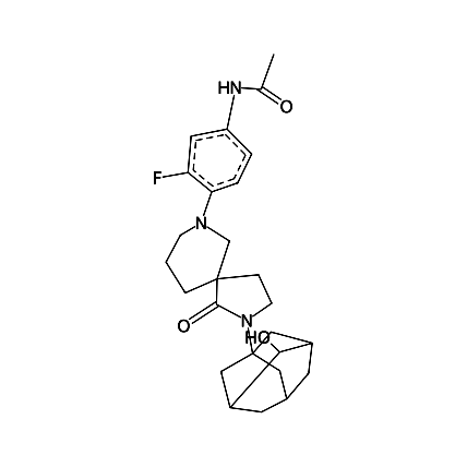 CC(=O)Nc1ccc(N2CCCC3(CCN(C45CC6CC(C4)C(O)C(C6)C5)C3=O)C2)c(F)c1